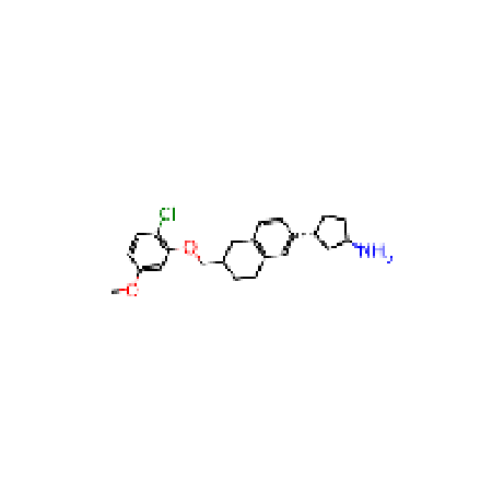 COc1ccc(Cl)c(OCC2CCc3cc([C@@H]4CCC(N)C4)ccc3C2)c1